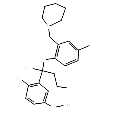 CCCC(C)(Pc1ccc(C)cc1CN1CCCCC1)c1cc(OC)ccc1O